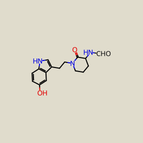 O=CNC1CCCN(CCc2c[nH]c3ccc(O)cc23)C1=O